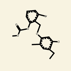 CCc1cc(C)c(OCc2c(Br)cccc2OC(=O)OC)cc1Cl